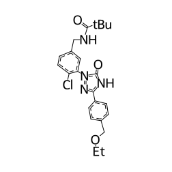 CCOCc1ccc(-c2nn(-c3cc(CNC(=O)C(C)(C)C)ccc3Cl)c(=O)[nH]2)cc1